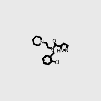 O=C(c1ccn[nH]1)N(CCN1CCCCC1)Cc1ccccc1Cl